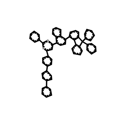 c1ccc(-c2ccc(-c3ccc(-c4cc(-c5ccc(-c6cccc7c6-c6ccccc6C7(c6ccccc6)c6ccccc6)c6ccccc56)nc(-c5ccccc5)n4)cc3)cc2)cc1